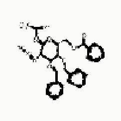 [N-]=[N+]=N[C@H]1C(OC(=N)C(Cl)(Cl)Cl)O[C@H](COC(=O)c2ccccc2)[C@@H](OCc2ccccc2)[C@@H]1OCc1ccccc1